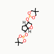 CC1(C)COP(O[C@H]2CO[C@H]3[C@@H]2CC[C@H]3OP2OCC(C)(C)CO2)OC1